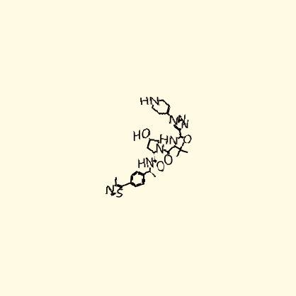 Cc1ncsc1-c1ccc([C@H](C)NC(=O)[C@@H]2C[C@@H](O)CN2C(=O)[C@@H](NC(=O)c2cn(C3CCNCC3)nn2)C(C)(C)C)cc1